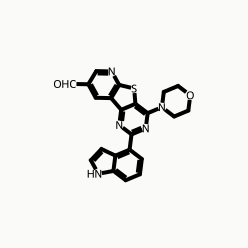 O=Cc1cnc2sc3c(N4CCOCC4)nc(-c4cccc5[nH]ccc45)nc3c2c1